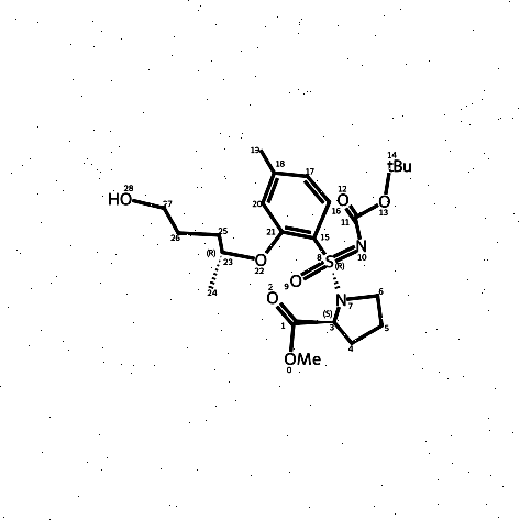 COC(=O)[C@@H]1CCCN1[S@@](=O)(=NC(=O)OC(C)(C)C)c1ccc(C)cc1O[C@H](C)CCCO